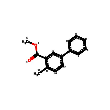 COC(=O)c1cc(-c2ccccc2)ccc1C